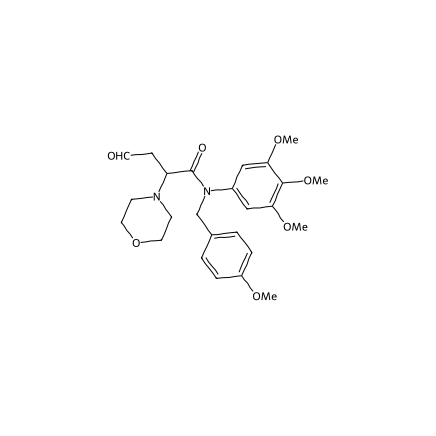 COc1ccc(CN(C(=O)C(CC=O)N2CCOCC2)c2cc(OC)c(OC)c(OC)c2)cc1